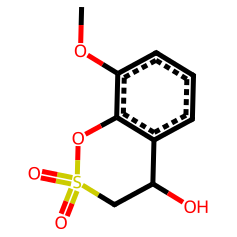 COc1cccc2c1OS(=O)(=O)CC2O